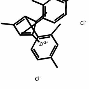 CC1=C2C(C)[C]([Zr+2])=C1C2(c1ccc(C)cc1C)c1ccc(C)cc1C.[Cl-].[Cl-]